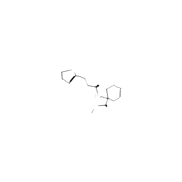 COC(=O)C1(NC(=O)CCC2=CCCO2)CCCCC1